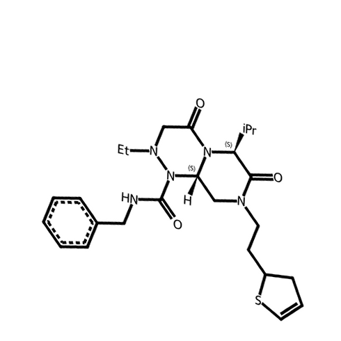 CCN1CC(=O)N2[C@@H](C(C)C)C(=O)N(CCC3CC=CS3)C[C@@H]2N1C(=O)NCc1ccccc1